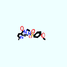 CCOc1ccc(S(=O)(=O)N2CCN3C(=O)c4ccc(C)nc4C3(C)C2)cc1